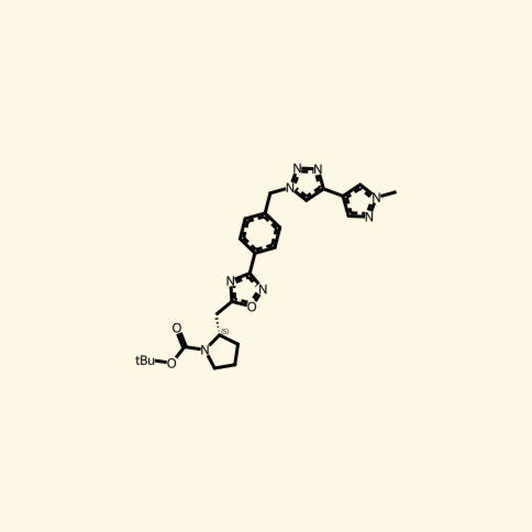 Cn1cc(-c2cn(Cc3ccc(-c4noc(C[C@@H]5CCCN5C(=O)OC(C)(C)C)n4)cc3)nn2)cn1